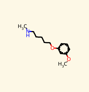 CNCCCCCOc1cccc(OC)c1